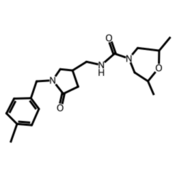 Cc1ccc(CN2CC(CNC(=O)N3CC(C)OC(C)C3)CC2=O)cc1